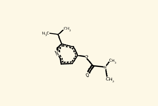 CC(C)c1cc(OC(=O)N(C)C)ccn1